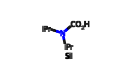 CC(C)N(C(=O)O)C(C)C.[Si]